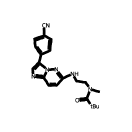 CN(CCNc1ccc2ncc(-c3ccc(C#N)cc3)n2n1)C(=O)C(C)(C)C